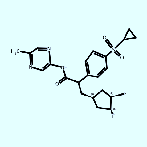 Cc1cnc(NC(=O)C(C[C@H]2C[C@@H](F)[C@@H](F)C2)c2ccc(S(=O)(=O)C3CC3)cc2)cn1